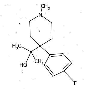 CN1CCC(c2ccc(F)cc2)(C(C)(C)O)CC1